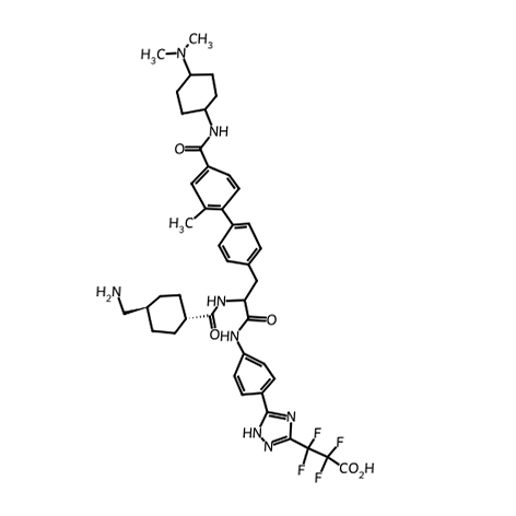 Cc1cc(C(=O)NC2CCC(N(C)C)CC2)ccc1-c1ccc(CC(NC(=O)[C@H]2CC[C@H](CN)CC2)C(=O)Nc2ccc(-c3nc(C(F)(F)C(F)(F)C(=O)O)n[nH]3)cc2)cc1